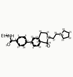 CCNC(=O)c1ccc(-c2ccc3c(c2)CCN(CCN2CCCC2)C3=O)cc1